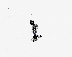 CCOCc1cc(NC(C)=O)ccc1/C=C/S(=O)(=O)N1CCC2(CC1)N=C(C1CCC(C)CC1)NC2=O